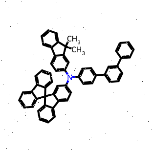 CC1(C)c2ccccc2-c2ccc(N(c3ccc(-c4cccc(-c5ccccc5)c4)cc3)c3ccc4c(c3)C3(c5ccccc5-c5ccccc53)c3ccccc3-4)cc21